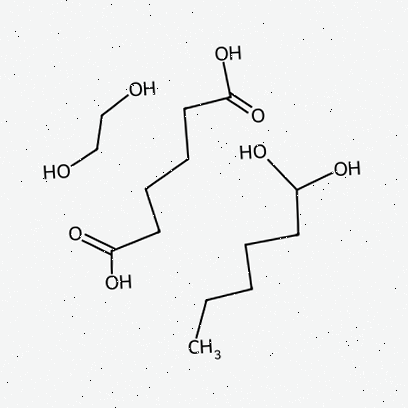 CCCCCC(O)O.O=C(O)CCCCC(=O)O.OCCO